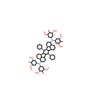 COc1cc(N(c2cc(OC)c(C)c(OC)c2)c2ccc3c4c(-c5ccccc5)c5c6cccc7c(N(c8cc(OC)c(C)c(OC)c8)c8cc(OC)c(C)c(OC)c8)ccc(c5c(-c5ccccc5)c4c4cccc2c43)c76)cc(OC)c1C